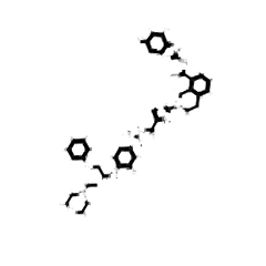 O=C(NS(=O)(=O)c1ccc(N[C@H](CCN2CCOCC2)CSc2ccccc2)c(F)c1)c1csc(N2CCc3cccc(C(=O)Nc4nc5ccc(F)cc5s4)c3C2)n1